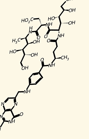 C[C@H](CCC(=O)N[C@H](C(=O)N[C@@H](CC(=O)O)C(=O)N[C@H](C)[C@@H](O)[C@H](O)[C@H](O)CO)[C@@H](O)[C@H](O)[C@H](O)CO)NC(=O)c1ccc(NCc2cnc3nc(N)[nH]c(=O)c3n2)cc1